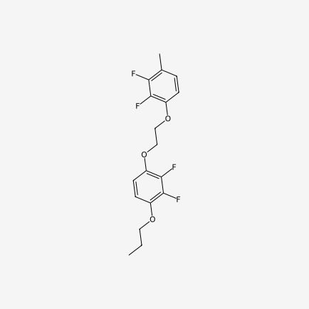 CCCOc1ccc(OCCOc2ccc(C)c(F)c2F)c(F)c1F